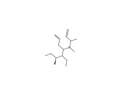 C=CCC(C(CC)[C@@H](C)CC)N(C)C(C)C=O